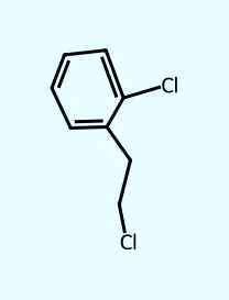 ClCCc1ccccc1Cl